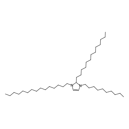 CCCCCCCCCCCCCCCN1C=CN(CCCCCCCCCC)C1CCCCCCCCCCCCC